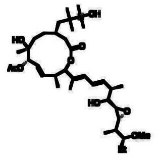 CC[C@H](OC)[C@@H](C)[C@H]1O[C@@H]1C(O)[C@H](C)/C=C/C=C(\C)C1OC(=O)C[C@H](CC(C)(C)[Si](C)(C)O)CC[C@@](C)(O)[C@@H](OC(C)=O)/C=C/[C@@H]1C